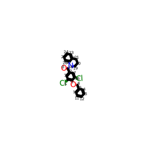 O=C(c1cc(Cl)c(OCc2ccccc2)c(Cl)c1)N1CCCc2ccccc21